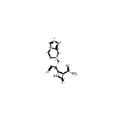 C[C@@H](O)[C@H]1C(=O)N[C@@H]1[C@H](C=O)CN1CCn2cnnc2C1